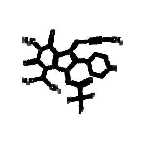 CC#CCN1c2c(n(C(C)C)c(=O)n(C)c2=O)N(OC(=O)C(F)(F)F)C1N1CCNCC1